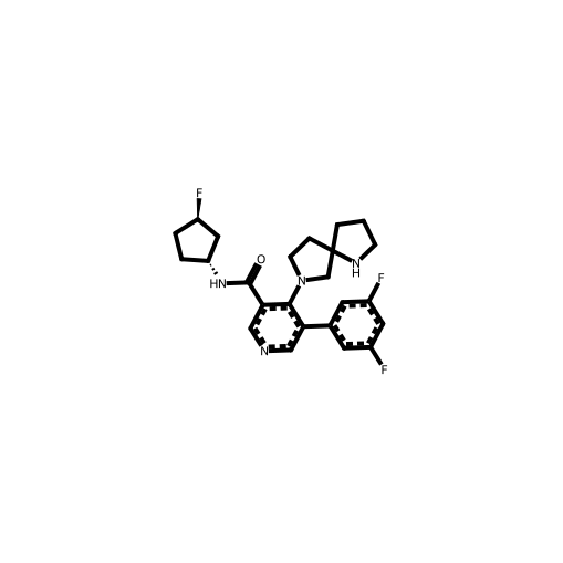 O=C(N[C@@H]1CC[C@@H](F)C1)c1cncc(-c2cc(F)cc(F)c2)c1N1CCC2(CCCN2)C1